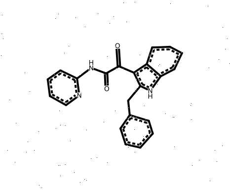 O=C(Nc1ccccn1)C(=O)c1c(Cc2ccccc2)[nH]c2ccccc12